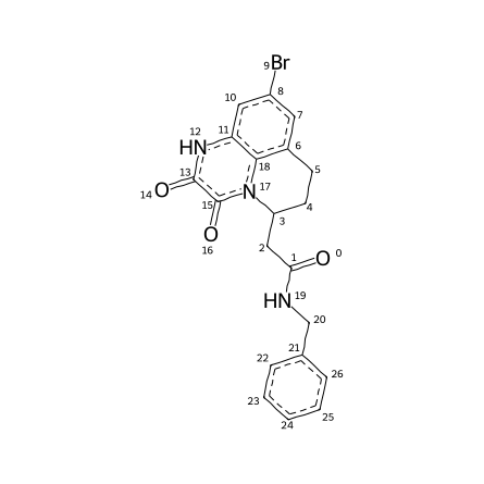 O=C(CC1CCc2cc(Br)cc3[nH]c(=O)c(=O)n1c23)NCc1ccccc1